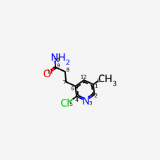 Cc1cnc(Cl)c(CCC(N)=O)c1